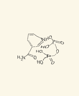 NC(=O)c1cccnc1.O=P(O)(O)OP(=O)(O)O